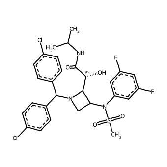 CC(C)NC(=O)[C@H](O)C1C(N(c2cc(F)cc(F)c2)S(C)(=O)=O)CN1C(c1ccc(Cl)cc1)c1ccc(Cl)cc1